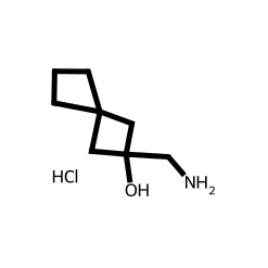 Cl.NCC1(O)CC2(CCC2)C1